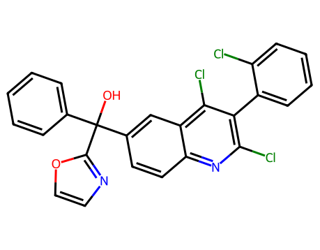 OC(c1ccccc1)(c1ccc2nc(Cl)c(-c3ccccc3Cl)c(Cl)c2c1)c1ncco1